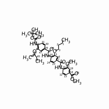 CCCCOc1cc(C(=O)Nc2ccc(C(=O)OC)cc2OC)ccc1NC(=O)c1ccc(NC(=O)OC(C)(C)C)c(OC(C)CC)c1